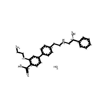 CCCOc1cc(-c2ccc(CCNC[C@H](O)c3ccccc3)cc2)ccc1C(=O)O.Cl